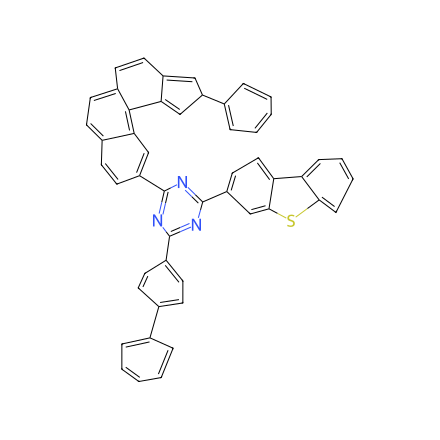 C1=c2ccc3ccc4ccc(-c5nc(-c6ccc(-c7ccccc7)cc6)nc(-c6ccc7c(c6)sc6ccccc67)n5)cc4c3c2=CC1c1ccccc1